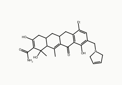 CCc1cc(CN2CC=CC2)c(O)c2c1CC1CC3CC(O)=C(C(N)=O)C(C)(O)C3C(C)=C1C2=O